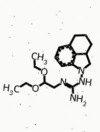 CCOC(CN=C(N)NN1CC2CCCc3cccc1c32)OCC